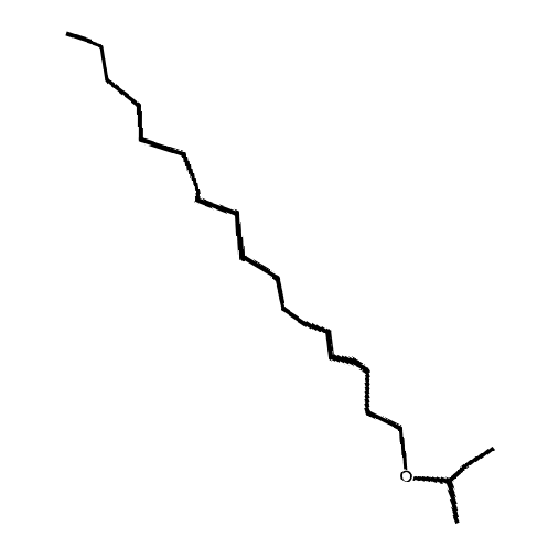 CCCCCCCCCCCCCCCCO[C](C)C